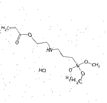 C=CC(=O)OCCNCCC[Si](OC)(OC)OC.Cl